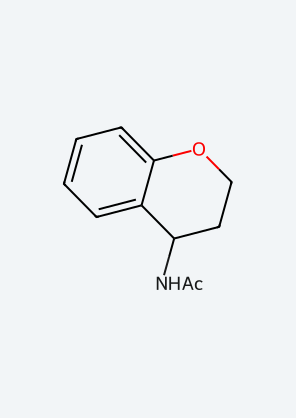 CC(=O)NC1CCOc2ccccc21